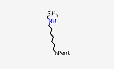 CCCCCCCCCCCCNC[SiH3]